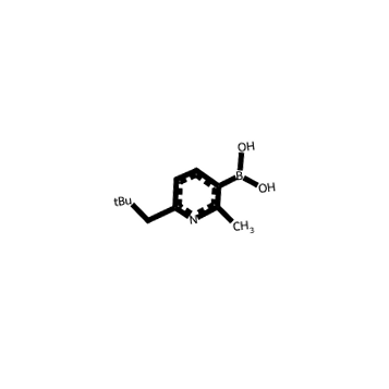 Cc1nc(CC(C)(C)C)ccc1B(O)O